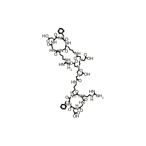 N=C(N)NCCC[C@@H]1NC(=O)[C@H](CCCCNC(=O)CN(CCN(CCN(CC(=O)O)CC(=O)NCCCC[C@@H]2NC(=O)[C@@H](Cc3ccccc3)NC(=O)[C@H](CC(=O)O)NC(=O)CNC(=O)[C@H](CCCNC(=N)N)NC2=O)CC(=O)O)CC(=O)O)NC(=O)[C@@H](Cc2ccccc2)NC(=O)[C@H](CC(=O)O)NC(=O)CNC1=O